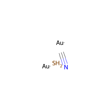 C#N.S.[Au].[Au]